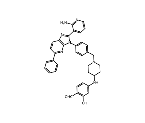 Nc1ncccc1-c1nc2ccc(-c3ccccc3)nc2n1-c1ccc(CN2CCC(Nc3ccc(C=O)c(O)c3)CC2)cc1